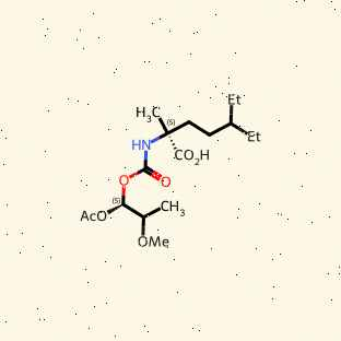 CCC(CC)CC[C@](C)(NC(=O)O[C@H](OC(C)=O)C(C)OC)C(=O)O